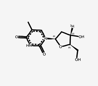 [2H][C@]1(O)C[C@H](n2cc(C)c(=O)[nH]c2=O)O[C@@H]1CO